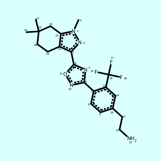 Cn1nc(-c2nc(-c3ccc(CCN)cc3C(F)(F)F)no2)c2c1CC(C)(C)CC2